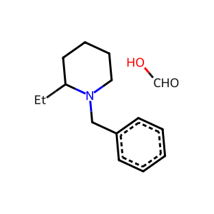 CCC1CCCCN1Cc1ccccc1.O=CO